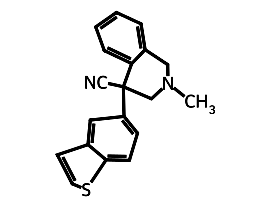 CN1Cc2ccccc2C(C#N)(c2ccc3sccc3c2)C1